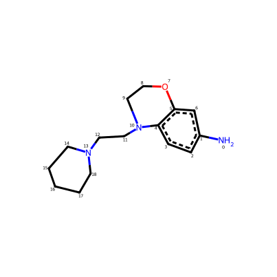 Nc1ccc2c(c1)OCCN2CCN1CCCCC1